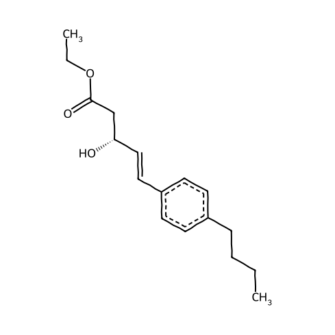 CCCCc1ccc(/C=C/[C@H](O)CC(=O)OCC)cc1